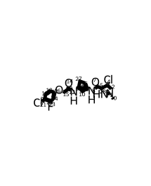 CN1CC(Cl)C(C(=O)NC2CC3(NC(=O)COc4ccc(Cl)c(F)c4)CC2C3)N1